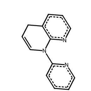 C1=CN(c2ccccn2)c2ncccc2C1